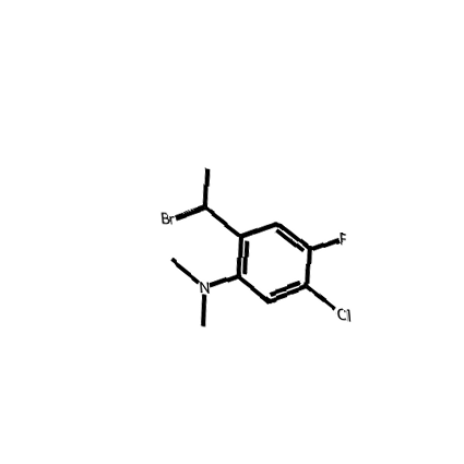 CC(Br)c1cc(F)c(Cl)cc1N(C)C